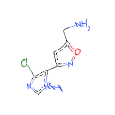 NCc1cc(-c2[nH]cnc2Cl)no1